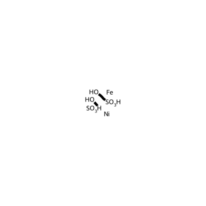 O=S(=O)(O)O.O=S(=O)(O)O.[Fe].[Ni]